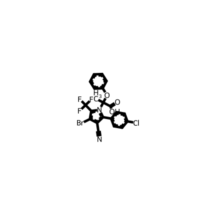 CC(Oc1ccccc1)(C(=O)O)n1c(-c2ccc(Cl)cc2)c(C#N)c(Br)c1C(F)(F)F